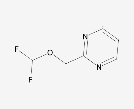 FC(F)OCc1n[c]ccn1